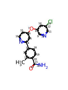 Cc1cc(-c2cc(Oc3cncc(Cl)c3)ccn2)ccc1C(N)=O